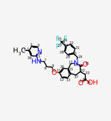 Cc1ccnc(NCCCOc2ccc3c(c2)CN(Cc2ccc(C(F)(F)F)cc2)C(=O)C(CC(=O)O)C3)c1